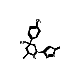 C[C@H]1CC(c2ccc(C(F)(F)F)cc2)(C(F)(F)F)C[C@@H](c2cn(C)nn2)N1